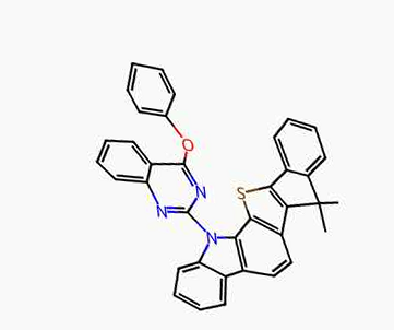 CC1(C)c2ccccc2-c2sc3c(ccc4c5ccccc5n(-c5nc(Oc6ccccc6)c6ccccc6n5)c43)c21